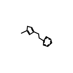 CC1=CC(CCc2ccccc2)=CC1